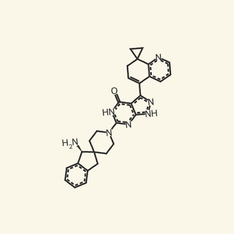 N[C@@H]1c2ccccc2CC12CCN(c1nc3[nH]nc(C4=CCC5(CC5)c5ncccc54)c3c(=O)[nH]1)CC2